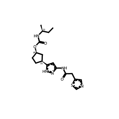 CC[C@H](C)NC(=O)O[C@@H]1CC[C@H](c2cc(NC(=O)Cc3cncs3)n[nH]2)C1